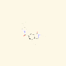 CN1Cc2c(cc(C(=O)N3CC(C(F)F)C3)cc2C(F)(F)F)C1=O